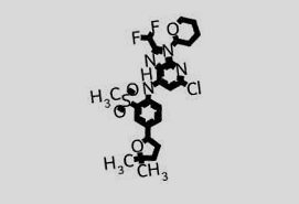 CC1(C)CCC(c2ccc(Nc3cc(Cl)nc4c3nc(C(F)F)n4C3CCCCO3)c(S(C)(=O)=O)c2)O1